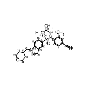 Cc1cc(C#N)ccc1N(CC(C)C)S(=O)(=O)c1ccc2c(c1)CNN2CC1CCOCC1